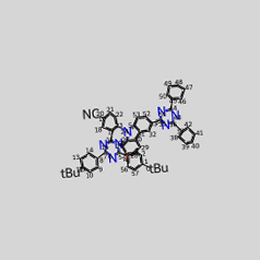 CC(C)(C)c1ccc(-c2nc(-c3ccc(C(C)(C)C)cc3)nc(-c3cc(C#N)ccc3-n3c4ccccc4c4cc(-c5nc(-c6ccccc6)nc(-c6ccccc6)n5)ccc43)n2)cc1